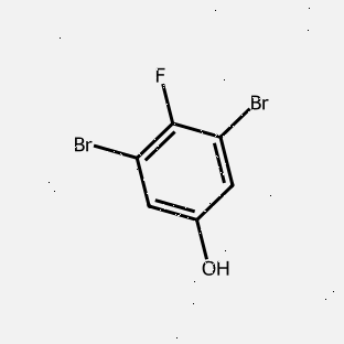 Oc1cc(Br)c(F)c(Br)c1